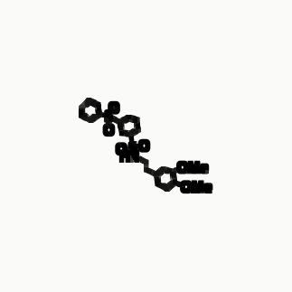 COc1ccc(CCNS(=O)(=O)c2cccc(S(=O)(=O)c3ccccc3)c2)cc1OC